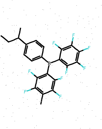 CCC(C)c1ccc(B(c2c(F)c(F)c(C)c(F)c2F)c2c(F)c(F)c(F)c(F)c2F)cc1